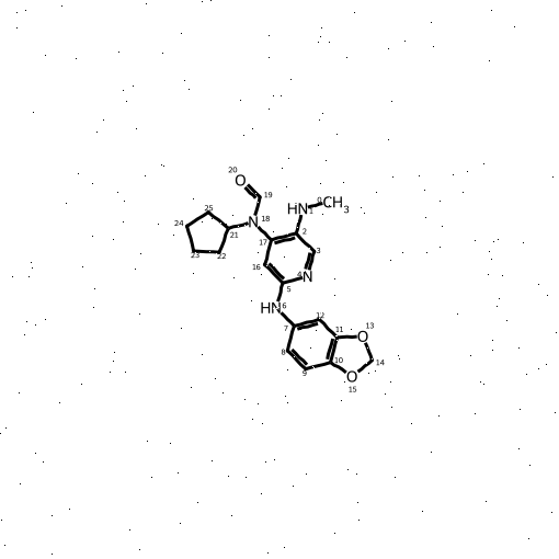 CNc1cnc(Nc2ccc3c(c2)OCO3)cc1N(C=O)C1CCCC1